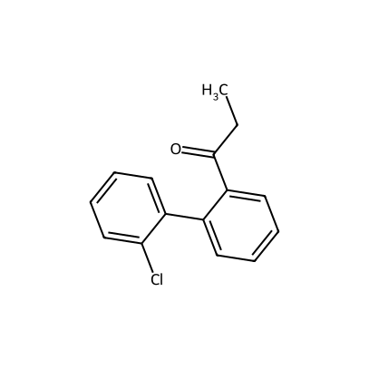 CCC(=O)c1ccccc1-c1ccccc1Cl